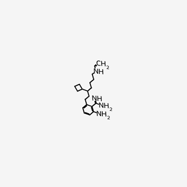 C=CNCCCCC(CCc1cccc(N)c1C(=N)N)C1CCC1